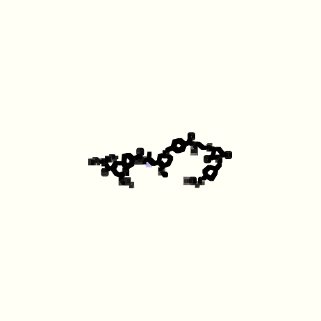 C=NC1=C(/C=C(\C)NC(=O)c2ccc3c(c2)N=C(N)CC(C(=O)N(CCC)CCC)=C3)CN(Cc2ccc(C(=O)NCCSC3CC(=O)N(CC4CCC(C(=O)O)CC4)C3=O)cc2)CC1